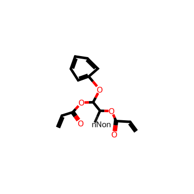 C=CC(=O)OC(CCCCCCCCC)C(OC(=O)C=C)Oc1ccccc1